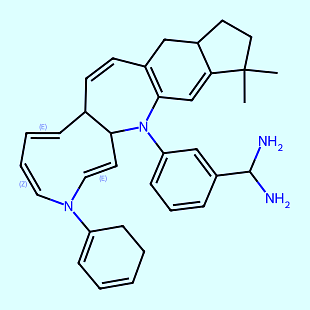 CC1(C)CCC2CC3=C(C=C21)N(c1cccc(C(N)N)c1)C1/C=C/N(C2=CC=CCC2)/C=C\C=C\C1C=C3